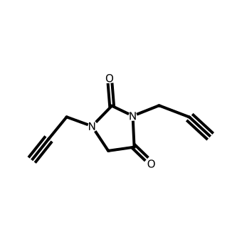 C#CCN1CC(=O)N(CC#C)C1=O